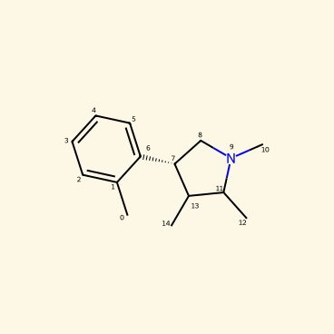 Cc1ccccc1[C@@H]1CN(C)C(C)C1C